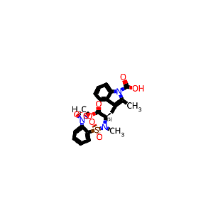 COC(=O)[C@H](Cc1c(C)n(C(=O)O)c2ccccc12)N(C)S(=O)(=O)c1ccccc1[N+](=O)[O-]